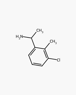 Cc1c(Cl)cccc1C(C)N